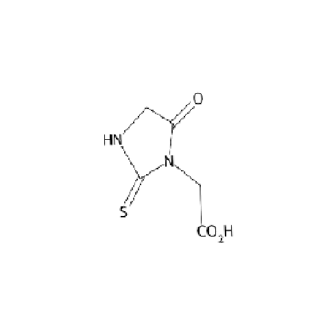 O=C(O)CN1C(=O)CNC1=S